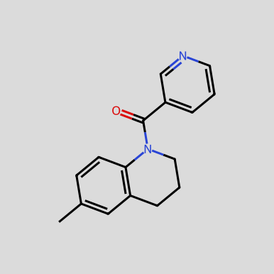 Cc1ccc2c(c1)CCCN2C(=O)c1cccnc1